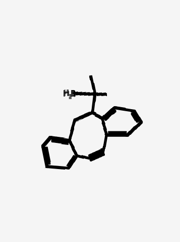 BC(C)(C)C1Cc2ccccc2C#Cc2ccccc21